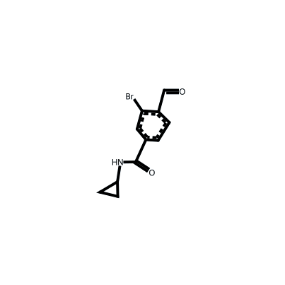 O=Cc1ccc(C(=O)NC2CC2)cc1Br